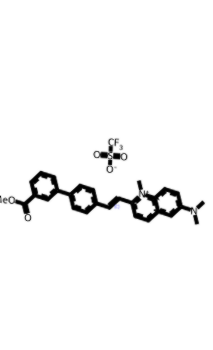 COC(=O)c1cccc(-c2ccc(/C=C/c3ccc4cc(N(C)C)ccc4[n+]3C)cc2)c1.O=S(=O)([O-])C(F)(F)F